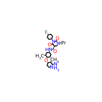 Cc1cc(NC(=O)c2cn(C(C)C)c(=O)n(-c3ccc(F)cc3)c2=O)ccc1Oc1ccnc(N)c1C